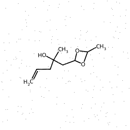 C=CCC(C)(O)CC1OC(C)O1